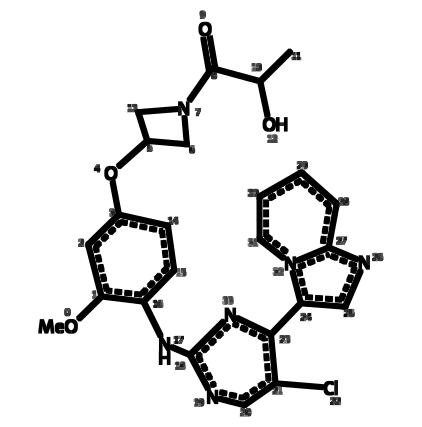 COc1cc(OC2CN(C(=O)C(C)O)C2)ccc1Nc1ncc(Cl)c(-c2cnc3ccccn23)n1